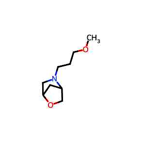 COCCCN1CC2CC1CO2